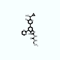 CCNC(=O)Nc1nc2cc(-c3cnc(C(O)C4CC4)c(F)c3)cc(-c3ncccn3)c2[nH]1